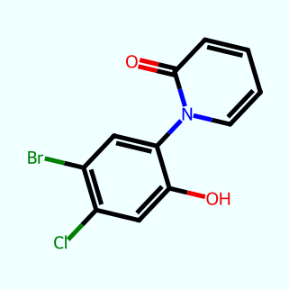 O=c1ccccn1-c1cc(Br)c(Cl)cc1O